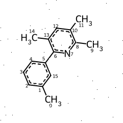 Cc1cccc(-c2nc(C)c(C)cc2C)c1